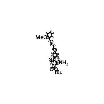 COc1ccccc1COCCCOc1ccc(N2C(=O)CN(C(=O)OC(C)(C)C)CC2CN)cc1